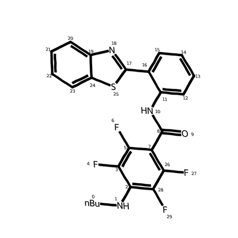 CCCCNc1c(F)c(F)c(C(=O)Nc2ccccc2-c2nc3ccccc3s2)c(F)c1F